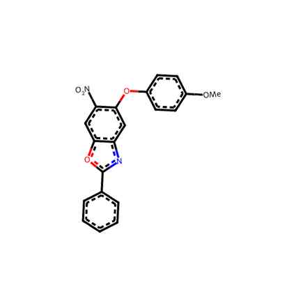 COc1ccc(Oc2cc3nc(-c4ccccc4)oc3cc2[N+](=O)[O-])cc1